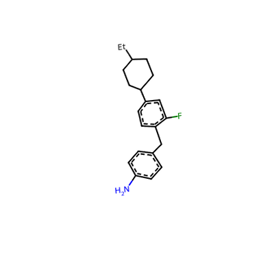 CCC1CCC(c2ccc(Cc3ccc(N)cc3)c(F)c2)CC1